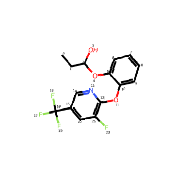 CCC(O)Oc1ccccc1Oc1ncc(C(F)(F)F)cc1F